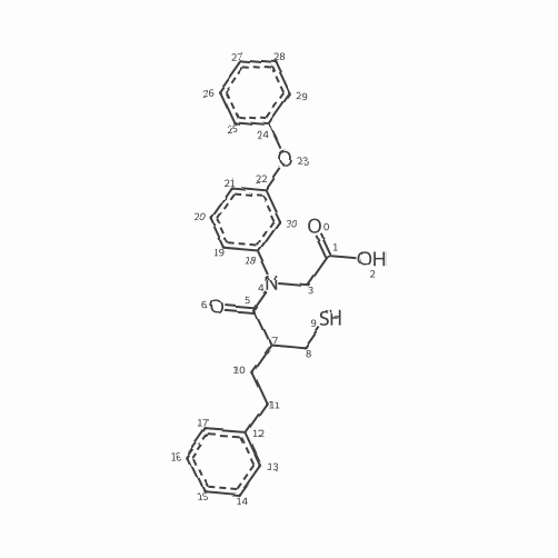 O=C(O)CN(C(=O)C(CS)CCc1ccccc1)c1cccc(Oc2ccccc2)c1